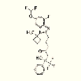 CC1(n2c(CCCC(=O)CC(O)(c3ccccc3)C(F)(F)F)nc3c(F)cc(OC(F)F)cc32)CCC1